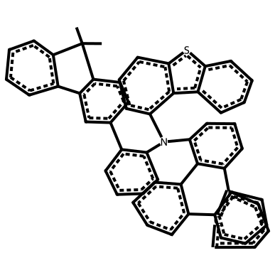 CC1(C)c2ccccc2-c2cc(-c3ccccc3N(c3cccc(-c4ccccc4)c3-c3ccccc3-c3ccccc3)c3cccc4sc5ccccc5c34)ccc21